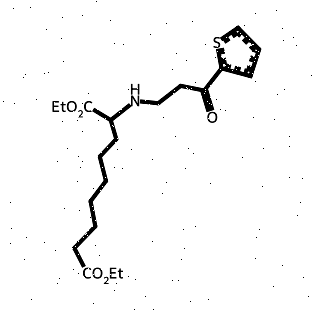 CCOC(=O)CCCCCCC(NCCC(=O)c1cccs1)C(=O)OCC